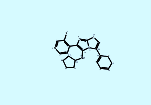 Fc1cnccc1-c1nc2scc(C3=CC=CCC3)n2c1NC1CCCC1